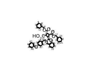 O=C(O)[C@@H]1[C@H](C(=O)OCc2ccccc2)[C@@H](C(=O)OCc2ccccc2)[C@H]1C(=O)N(Cc1ccccc1)Cc1ccc(Oc2ccccc2)cc1